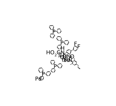 C=CCc1cc(C)c(NC(=O)Nc2cc(-c3ccc(F)c(F)c3)ccc2C(=O)N[C@H](C(=O)O)[C@@H](C)OC(C)(C)C)c(C)c1.[Pd].c1ccc(P(c2ccccc2)c2ccccc2)cc1.c1ccc(P(c2ccccc2)c2ccccc2)cc1.c1ccc(P(c2ccccc2)c2ccccc2)cc1.c1ccc(P(c2ccccc2)c2ccccc2)cc1